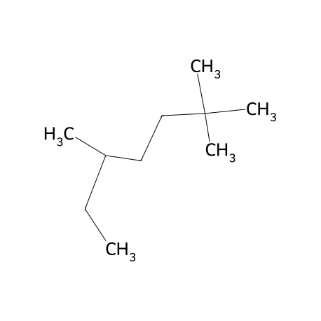 CCC(C)CCC(C)(C)C